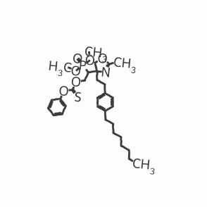 CCCCCCCCc1ccc(CCC2(C(COC(=S)Oc3ccccc3)P(=O)(OC)OC)COC(C)=N2)cc1